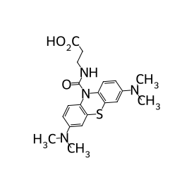 CN(C)c1ccc2c(c1)Sc1cc(N(C)C)ccc1N2C(=O)NCCC(=O)O